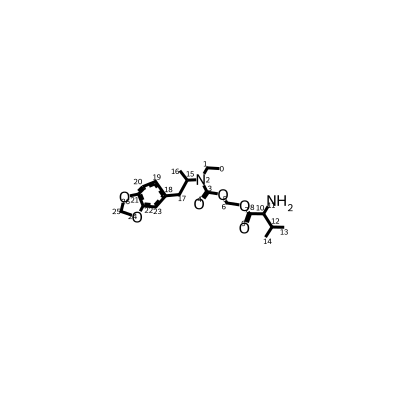 CCN(C(=O)OCOC(=O)C(N)C(C)C)C(C)Cc1ccc2c(c1)OCO2